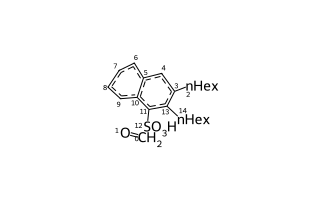 C=O.CCCCCCc1cc2ccccc2c(S(=O)(=O)O)c1CCCCCC